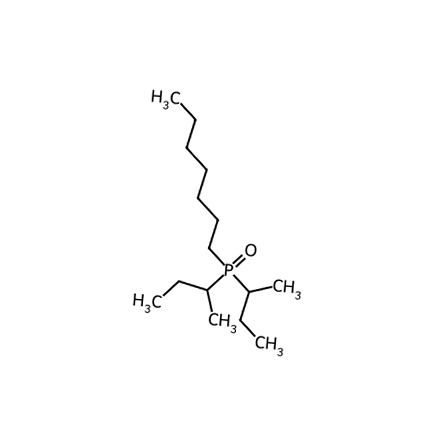 CCCCCCCP(=O)(C(C)CC)C(C)CC